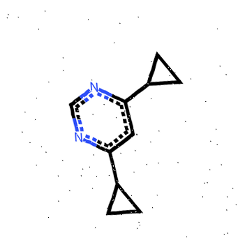 [c]1c(C2CC2)ncnc1C1CC1